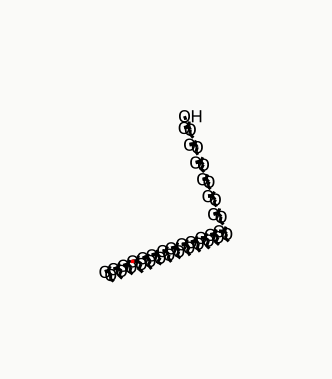 CCOC(C)=O.CCOC(C)=O.CCOC(C)=O.CCOC(C)=O.CCOC(C)=O.CCOC(C)=O.CCOC(C)=O.CCOC(C)=O.CCOC(C)=O.CCOC(C)=O.CCOC(C)=O.CCOC(C)=O.CCOC(C)=O.CCOC(C)=O.CCOC(C)=O.CCOC(C)=O.CCOC(C)=O.CCOC(C)=O.CCOC(C)=O.CO